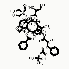 CC[Si](CC)(CC)O[C@H]1CC2OC[C@@]2(OC(C)=O)[C@H]2[C@H](OC(=O)c3ccccc3)[C@]3(O)C[C@H](OC(=O)[C@H](O)[C@@H](NC(=O)OC(C)(C)C)c4ccccc4)C(C)=C([C@H]4OC(C(O)CO)O[C@H]4[C@]12C)C3(C)C